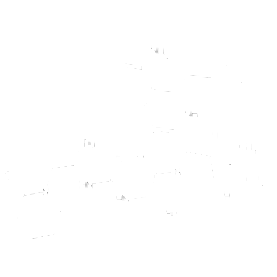 CC(C)(C)[C@H](NC(=O)N[C@H](Cn1ccccc1=O)C(C)(C)C)C(=O)N1C[C@H]2[C@@H](C1C(=O)NC(CC1CCC1)C(=O)C(N)=O)C2(C)C